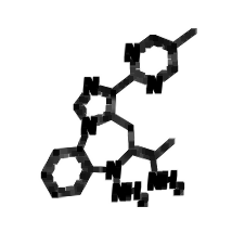 C/C(N)=C1\Cc2c(-c3ncc(C)cn3)ncn2-c2ccccc2N1N